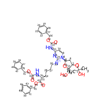 CC(C)(O)OC1C[C@H](n2ccc(NC(=O)OCc3ccccc3)n/c2=N\CCCC[C@H](NC(=O)OCc2ccccc2)C(=O)OCc2ccccc2)O[C@@H]1CO